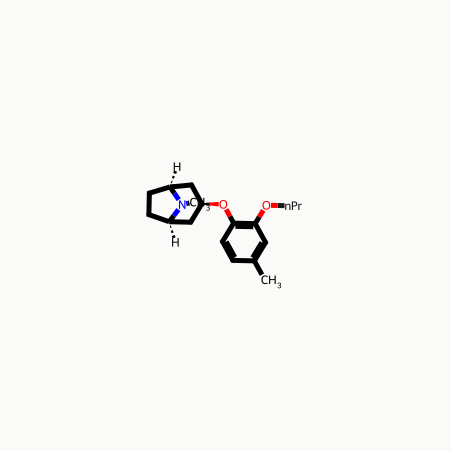 CCCOc1cc(C)ccc1O[C@H]1C[C@H]2CC[C@@H](C1)N2C